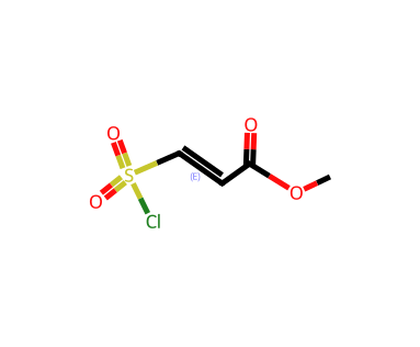 COC(=O)/C=C/S(=O)(=O)Cl